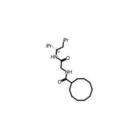 CC(C)C[C@H](NC(=O)CNC(=O)C1CCCCCCCCC1)C(C)C